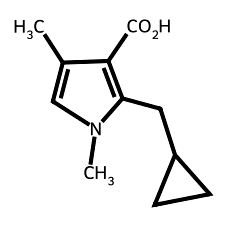 Cc1cn(C)c(CC2CC2)c1C(=O)O